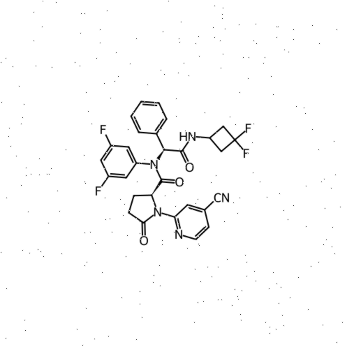 N#Cc1ccnc(N2C(=O)CC[C@H]2C(=O)N(c2cc(F)cc(F)c2)[C@H](C(=O)NC2CC(F)(F)C2)c2ccccc2)c1